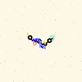 CSc1ccc(CNC(=O)[C@@H]2CN(c3ncnc4cc(-c5ccc(C(F)(F)F)cc5)sc34)CCN2)cc1